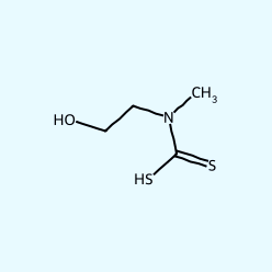 CN(CCO)C(=S)S